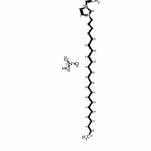 C=CN1C=CN(CCCCCCCCCCCCCCCCCCCCCCCC)C1.O=[N+]([O-])O